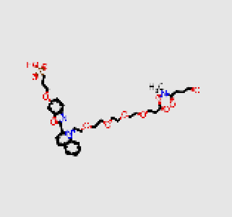 CN(OC(=O)CCOCCOCCOCCOCC[n+]1c(-c2nc3ccc(OCCCS(=O)(=O)O)cc3o2)ccc2ccccc21)C(=O)CCC=O